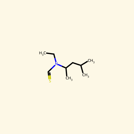 CCN(C=S)C(C)CC(C)C